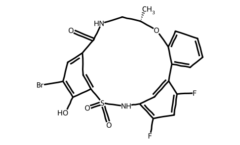 C[C@H]1CNC(=O)c2cc(Br)c(O)c(c2)S(=O)(=O)Nc2cc(c(F)cc2F)-c2ccccc2O1